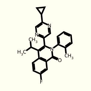 Cc1ccccc1-n1c(-c2cnc(C3CC3)cn2)c(C(C)C)c2ccc(F)cc2c1=O